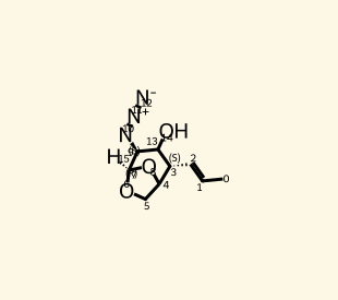 CC=C[C@@H]1C2CO[C@H](O2)[C@@H](N=[N+]=[N-])C1O